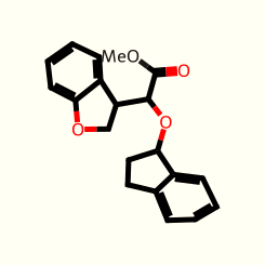 COC(=O)C(OC1CCc2ccccc21)C1COc2ccccc21